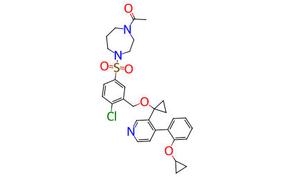 CC(=O)N1CCCN(S(=O)(=O)c2ccc(Cl)c(COC3(c4cnccc4-c4ccccc4OC4CC4)CC3)c2)CC1